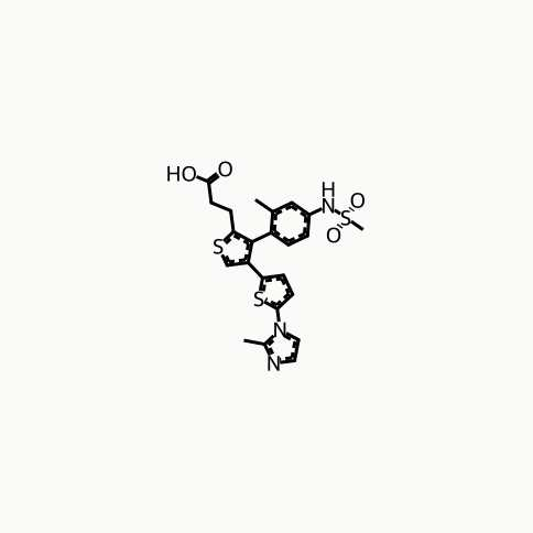 Cc1cc(NS(C)(=O)=O)ccc1-c1c(-c2ccc(-n3ccnc3C)s2)csc1CCC(=O)O